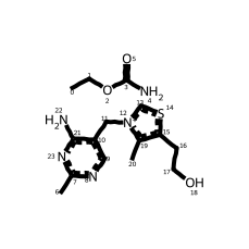 CCOC(N)=O.Cc1ncc(C[n+]2csc(CCO)c2C)c(N)n1